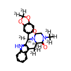 [2H]C1([2H])Oc2ccc([C@]3([2H])c4[nH]c5ccccc5c4C([2H])([2H])[C@]4([2H])C(=O)N(C([2H])([2H])[2H])CC(=O)N34)cc2O1